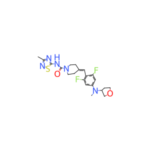 Cc1nsc(NC(=O)N2CCC(=Cc3c(F)cc(N(C)C4CCOC4)cc3F)CC2)n1